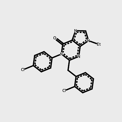 CCn1cnc2c(=O)n(-c3ccc(Cl)cc3)c(Cc3ccccc3Cl)nc21